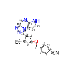 CC[C@H]1C[C@H](OCc2ccc(C#N)cc2)C[C@H]1c1nnc2cnc3[nH]ccc3n12